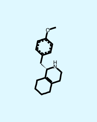 COc1ccc(C[C@@H]2NCCC3=C2CCCC3)cc1